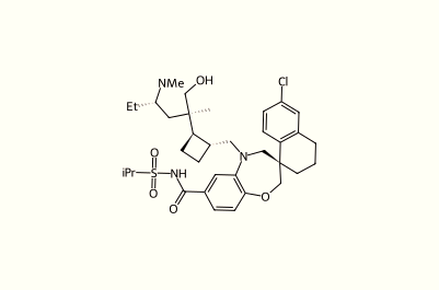 CC[C@@H](C[C@@](C)(CO)[C@@H]1CC[C@H]1CN1C[C@@]2(CCCc3cc(Cl)ccc32)COc2ccc(C(=O)NS(=O)(=O)C(C)C)cc21)NC